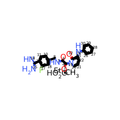 CC(=O)O.CCOC(C(=O)NCc1ccc(C(=N)N)c(F)c1)n1cccc(Nc2ccccc2)c1=O